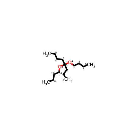 CCCCOC(CCC)(CCCC)OCCCC